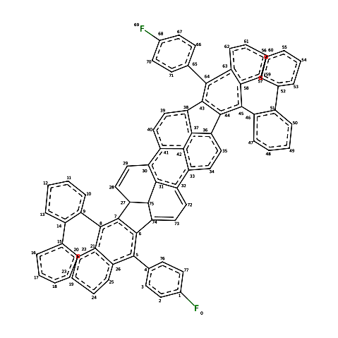 Fc1ccc(-c2c3c(c(-c4ccccc4-c4ccccc4)c4ccccc24)C2C=Cc4c5c(c6ccc7c8c(ccc4c86)-c4c-7c(-c6ccccc6-c6ccccc6)c6ccccc6c4-c4ccc(F)cc4)=CC=C3C52)cc1